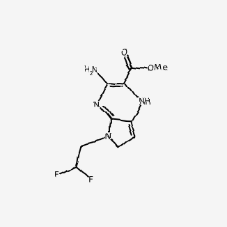 COC(=O)C1=C(N)N=C2C(=CCN2CC(F)F)N1